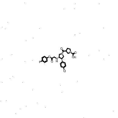 O=C(CN[C@@H]1CN(C(=O)C2CCN(C(=O)O)C2)C[C@H]1c1ccc(Cl)cc1)Oc1ccc(F)cc1